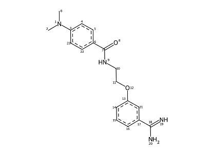 CN(C)c1ccc(C(=O)NCCOc2cccc(C(=N)N)c2)cc1